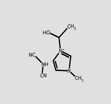 CC(O)[n+]1ccn(C)c1.N#CNC#N